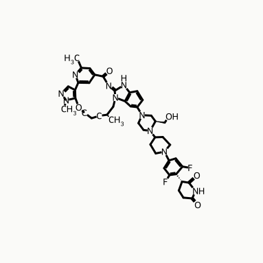 Cc1cc2cc(n1)-c1cnn(C)c1OCCC[C@@H](C)CN1/C(=N/C2=O)Nc2ccc(N3CCN(C4CCN(c5cc(F)c([C@H]6CCC(=O)NC6=O)c(F)c5)CC4)[C@H](CO)C3)cc21